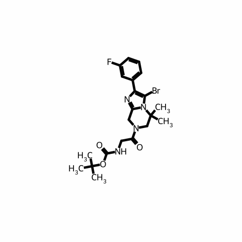 CC(C)(C)OC(=O)NCC(=O)N1Cc2nc(-c3cccc(F)c3)c(Br)n2C(C)(C)C1